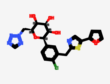 O[C@@H]1[C@@H](O)[C@H](c2ccc(Cl)c(Cc3ncc(-c4ccco4)s3)c2)O[C@H](Cn2ncnn2)[C@H]1O